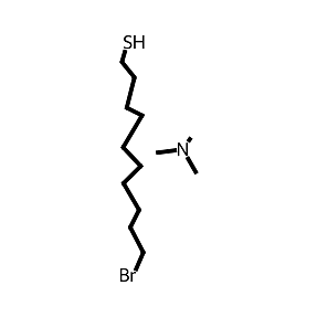 CN(C)C.SCCCCCCCCCCBr